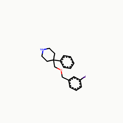 Ic1cccc(COCC2(c3ccccc3)CCNCC2)c1